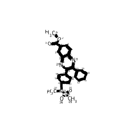 COC(=O)c1ccc2nc(-c3ccccc3)c(-c3ccc(N(C)S(C)(=O)=O)cc3)nc2c1